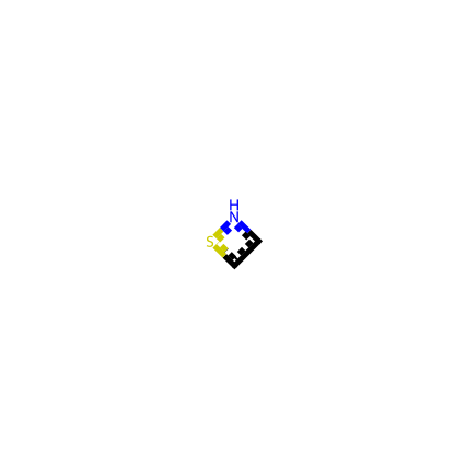 c1cs[nH]1